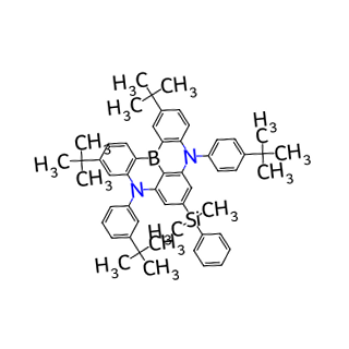 CC(C)(C)c1ccc(N2c3ccc(C(C)(C)C)cc3B3c4ccc(C(C)(C)C)cc4N(c4cccc(C(C)(C)C)c4)c4cc([Si](C)(C)c5ccccc5)cc2c43)cc1